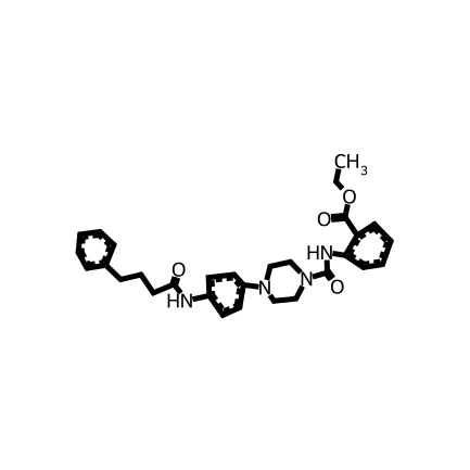 CCOC(=O)c1ccccc1NC(=O)N1CCN(c2ccc(NC(=O)CCCc3ccccc3)cc2)CC1